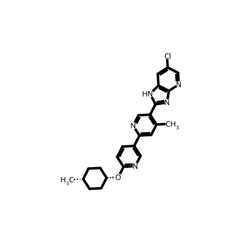 Cc1cc(-c2ccc(O[C@H]3CC[C@@H](C)CC3)nc2)ncc1-c1nc2ncc(Cl)cc2[nH]1